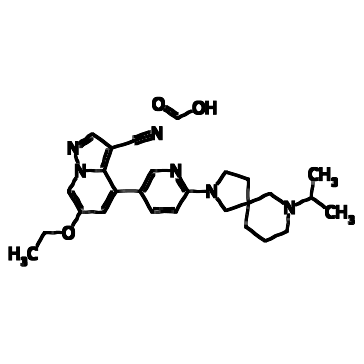 CCOc1cc(-c2ccc(N3CCC4(CCCN(C(C)C)C4)C3)nc2)c2c(C#N)cnn2c1.O=CO